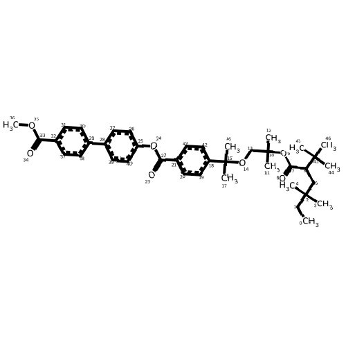 CCC(C)(C)CC(C(=O)OC(C)(C)COC(C)(C)c1ccc(C(=O)Oc2ccc(-c3ccc(C(=O)OC)cc3)cc2)cc1)C(C)(C)C